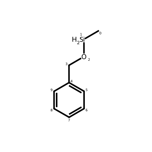 C[SiH2]OCc1ccccc1